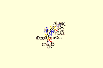 [C-]#[N+]/C(C#N)=C1\C(=C\c2sc3c(sc4c5c6nsnc6c6c7sc8c(CCCCCCCCCCC)c(/C=C9\C(=O)c%10ccccc%10\C9=C(\C#N)[N+]#[C-])sc8c7n(CC(CCCCCCCC)CCCCCCCCCC)c6c5n(CC(CCCCCCCC)CCCCCCCCCC)c34)c2CCCCCCCCCCC)C(=O)c2ccccc21